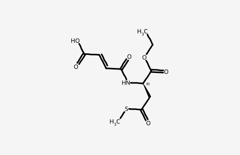 CCOC(=O)[C@@H](CC(=O)SC)NC(=O)C=CC(=O)O